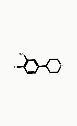 Cc1cc(C2CC[N]CC2)ccc1Cl